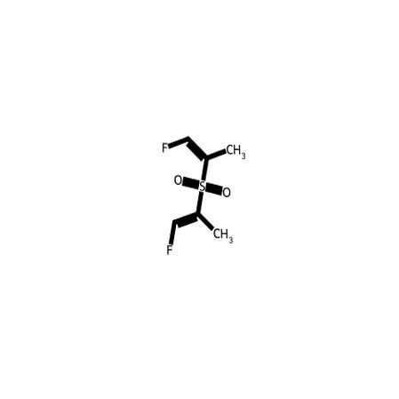 CC(=CF)S(=O)(=O)C(C)=CF